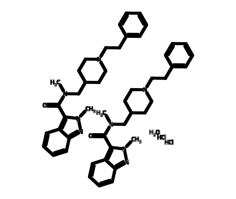 CN(CC1CCN(CCc2ccccc2)CC1)C(=O)c1c2ccccc2nn1C.CN(CC1CCN(CCc2ccccc2)CC1)C(=O)c1c2ccccc2nn1C.Cl.Cl.O